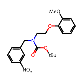 COc1ccccc1OCCN(Cc1cccc([N+](=O)[O-])c1)C(=O)OC(C)(C)C